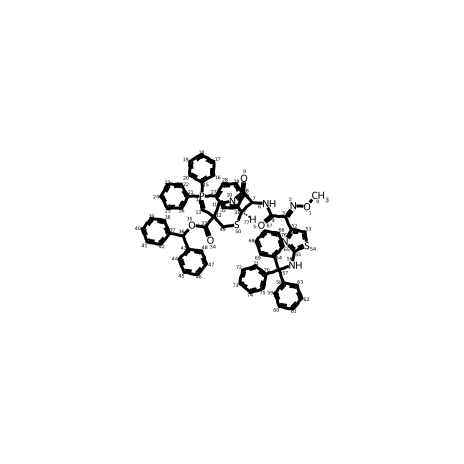 CON=C(C(=O)NC1C(=O)N2CC(C=P(c3ccccc3)(c3ccccc3)c3ccccc3)(C(=O)OC(c3ccccc3)c3ccccc3)CS[C@H]12)c1csc(NC(c2ccccc2)(c2ccccc2)c2ccccc2)n1